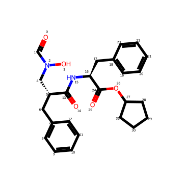 O=CN(O)C[C@@H](Cc1ccccc1)C(=O)N[C@@H](Cc1ccccc1)C(=O)OC1CCCC1